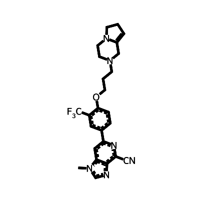 Cn1cnc2c(C#N)nc(-c3ccc(OCCCN4CCN5CCC=C5C4)c(C(F)(F)F)c3)cc21